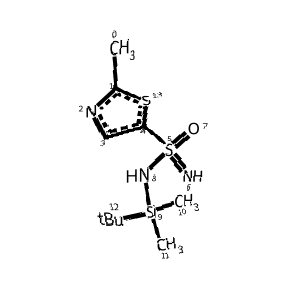 Cc1ncc(S(=N)(=O)N[Si](C)(C)C(C)(C)C)s1